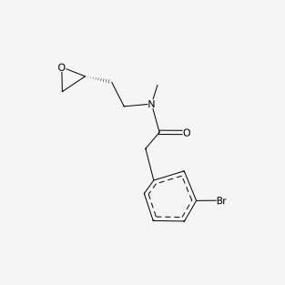 CN(CC[C@@H]1CO1)C(=O)Cc1cccc(Br)c1